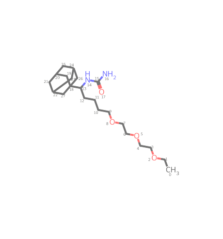 CCOCCOCCOCCCCC(NC(N)=O)C12CC3CC(CC(C3)C1)C2